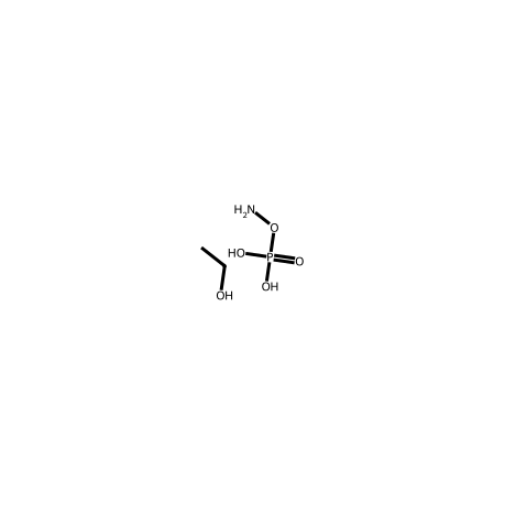 CCO.NOP(=O)(O)O